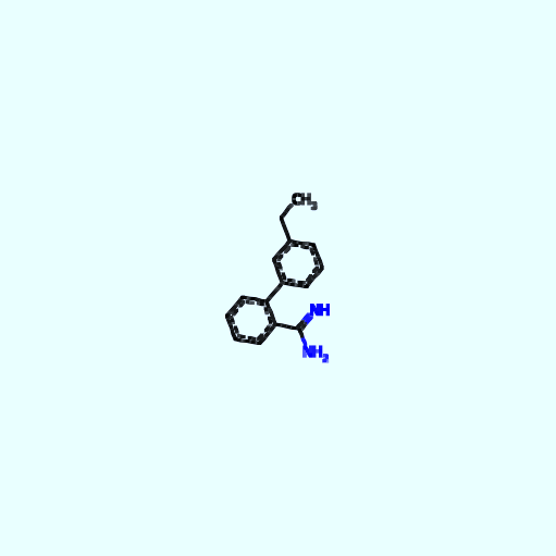 CCc1cccc(-c2ccccc2C(=N)N)c1